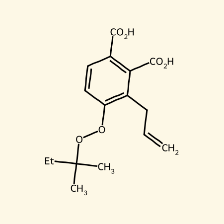 C=CCc1c(OOC(C)(C)CC)ccc(C(=O)O)c1C(=O)O